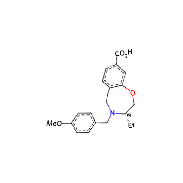 CC[C@H]1COc2cc(C(=O)O)ccc2CN1Cc1ccc(OC)cc1